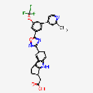 Cc1cc(-c2cc(OC(F)(F)F)cc(-c3nc(C4C=c5c6c([nH]c5=CC4)C(CC(=O)O)CC6)no3)c2)ccn1